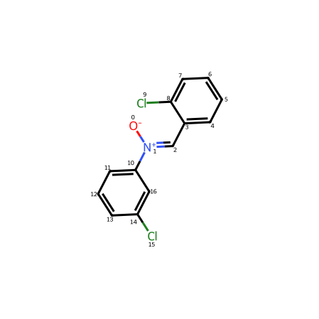 [O-][N+](=Cc1ccccc1Cl)c1cccc(Cl)c1